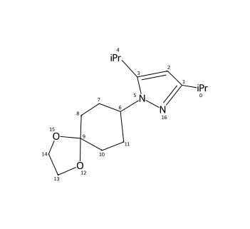 CC(C)c1cc(C(C)C)n(C2CCC3(CC2)OCCO3)n1